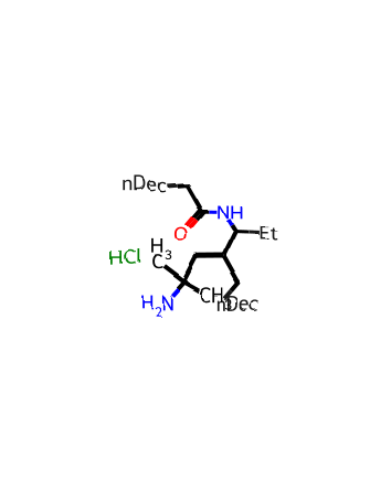 CCCCCCCCCCCC(=O)NC(CC)C(CCCCCCCCCCC)CC(C)(C)N.Cl